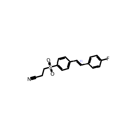 N#CCCS(=O)(=O)c1ccc(/C=C/c2ccc(F)cc2)cc1